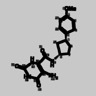 COc1ccc([C@@H]2CC[C@H](NC(=O)c3[nH]c(=O)[nH]c(=O)c3N)C2)cn1